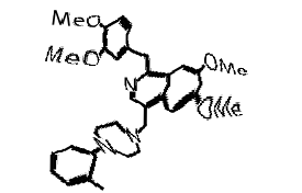 COc1ccc(Cc2ncc(CN3CCN(c4ccccc4C)CC3)c3cc(OC)c(OC)cc23)cc1OC